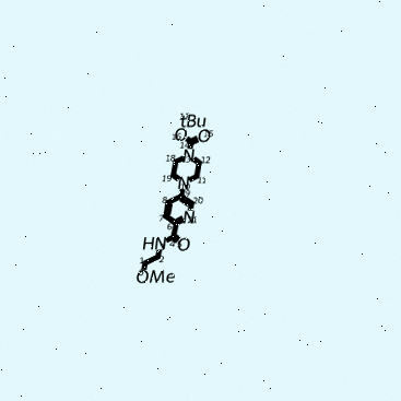 COCCNC(=O)c1ccc(N2CCN(C(=O)OC(C)(C)C)CC2)cn1